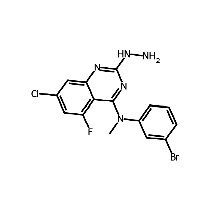 CN(c1cccc(Br)c1)c1nc(NN)nc2cc(Cl)cc(F)c12